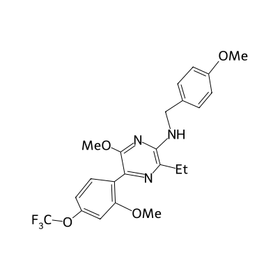 CCc1nc(-c2ccc(OC(F)(F)F)cc2OC)c(OC)nc1NCc1ccc(OC)cc1